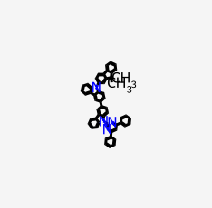 CC1(C)c2ccccc2-c2ccc(-n3c4ccccc4c4cc(-c5ccc6c(c5)c5ccccc5n6-c5nc(-c6ccccc6)cc(-c6ccccc6)n5)ccc43)cc21